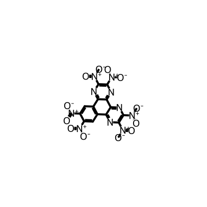 O=[N+]([O-])c1cc2c(cc1[N+](=O)[O-])c1nc([N+](=O)[O-])c([N+](=O)[O-])nc1c1nc([N+](=O)[O-])c([N+](=O)[O-])nc21